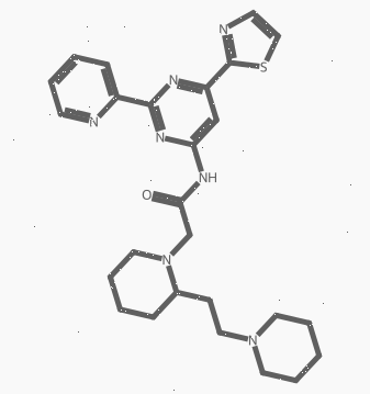 O=C(CN1CCCCC1CCN1CCCCC1)Nc1cc(-c2nccs2)nc(-c2ccccn2)n1